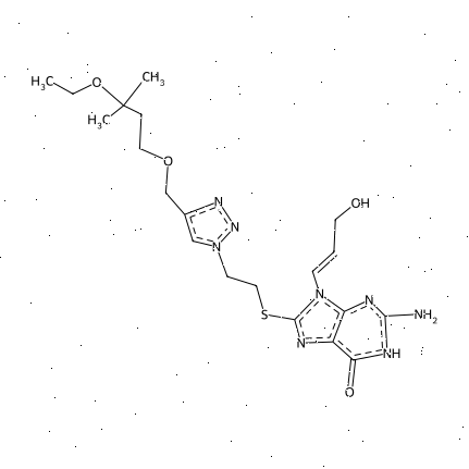 CCOC(C)(C)CCOCc1cn(CCSc2nc3c(=O)[nH]c(N)nc3n2C=CCO)nn1